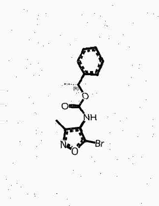 Cc1noc(Br)c1NC(=O)O[C@H](C)c1ccccc1